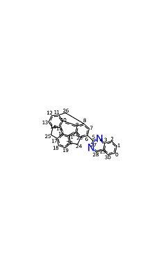 c1ccc2nc(-c3cc4c5c6c(ccc7c6c6c(ccc8c6c5c3C8)C7)C4)ncc2c1